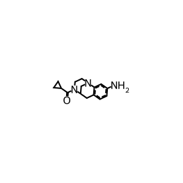 Nc1ccc2c(c1)N1CCN(C(=O)C3CC3)C(C2)C1